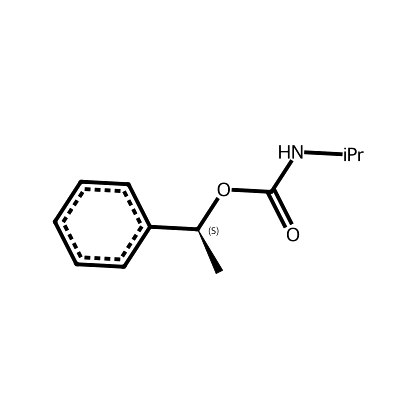 CC(C)NC(=O)O[C@@H](C)c1ccccc1